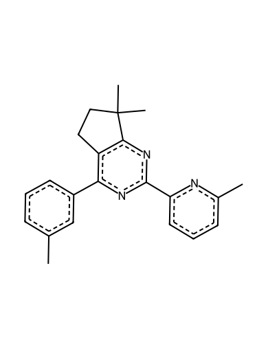 Cc1cccc(-c2nc(-c3cccc(C)n3)nc3c2CCC3(C)C)c1